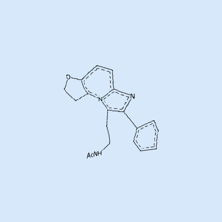 CC(=O)NCCc1c(-c2ccccc2)nc2ccc3c(n12)CCO3